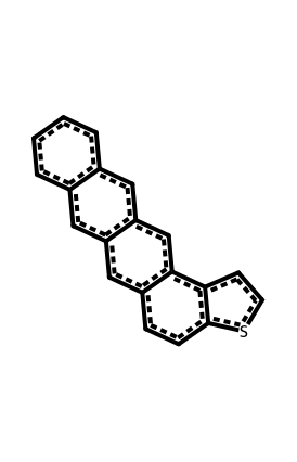 c1ccc2cc3cc4c(ccc5sccc54)cc3cc2c1